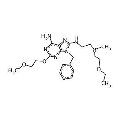 CCOCCN(C)CCNc1nc2c(N)nc(OCCOC)nc2n1Cc1ccccc1